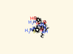 CCCCNC(=O)N(C(C)C)N1CC(=O)N2[C@@H](Cc3ccc(O)c(N)c3)C(=O)N(Cc3cccc4sc(N)nc34)C[C@@H]21